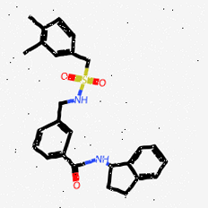 Cc1ccc(CS(=O)(=O)NCc2cccc(C(=O)NC3CCc4ccccc43)c2)cc1C